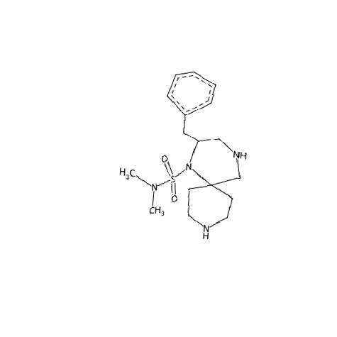 CN(C)S(=O)(=O)N1C(Cc2ccccc2)CNCC12CCNCC2